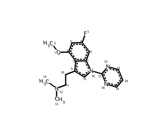 COc1cc(F)cc2c1c(CCN(C)C)cn2-c1ncccn1